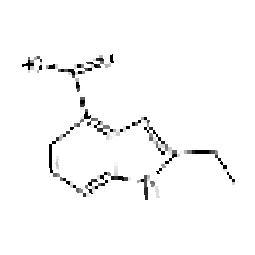 CCc1cc2c(C(=O)O)cccc2[nH]1